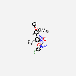 COc1cc(-c2cc(C(F)(F)F)cc3c2n(C)c(=O)n3CC(=O)Nc2ccc(F)cc2)c(C)cc1OCc1ccccc1